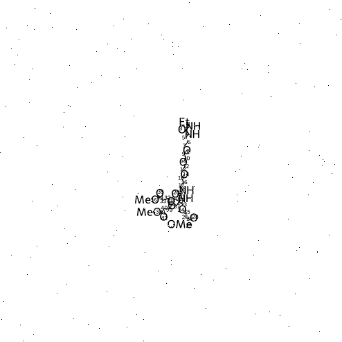 CCNC(=O)NCCCOCCOCCOCCCNC(=O)NC(COCCC(=O)OC)(COCCC(=O)OC)COCCC(=O)OC